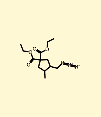 CCOC(=O)C1(C(=O)OCC)CC(C)C(CN=[N+]=[N-])C1